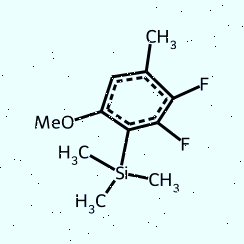 COc1cc(C)c(F)c(F)c1[Si](C)(C)C